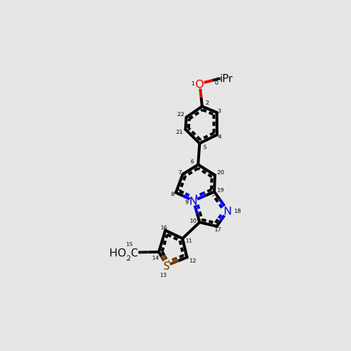 CC(C)Oc1ccc(-c2ccn3c(-c4csc(C(=O)O)c4)cnc3c2)cc1